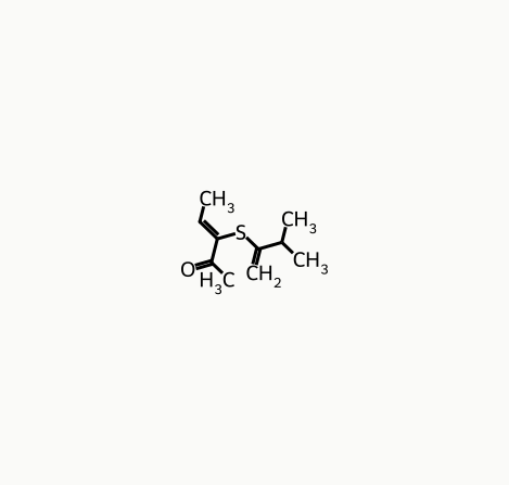 C=C(S/C(=C\C)C(C)=O)C(C)C